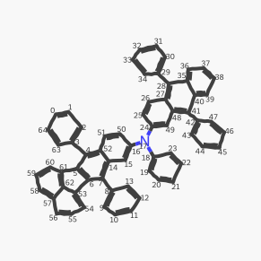 c1ccc(-c2c3c(c(-c4ccccc4)c4cc(N(c5ccccc5)c5ccc6c(-c7ccccc7)c7ccccc7c(-c7ccccc7)c6c5)ccc24)-c2cccc4cccc-3c24)cc1